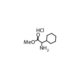 COC(=O)C(N)C1CCCCC1.Cl